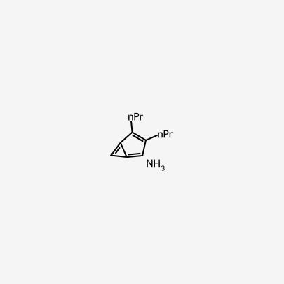 CCCc1cc2cc-2c1CCC.N